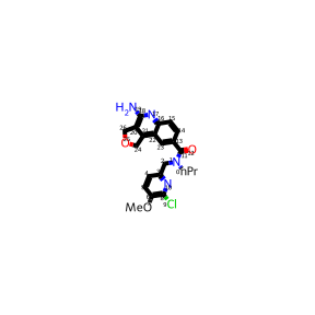 CCCN(Cc1ccc(OC)c(Cl)n1)C(=O)c1ccc2nc(N)c3c(c2c1)COC3